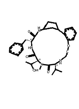 CC(C)[C@@H]1NCCOc2ccccc2C2CCC(C2)NC(=O)[C@@H](Cc2ccccc2)NC(=O)[C@H](C(C)O)N(C)C1=O